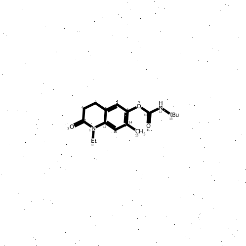 CCN1C(=O)CCc2cc(OC(=O)NC(C)(C)C)c(C)cc21